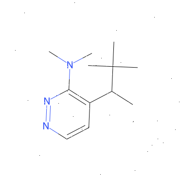 CC(c1ccnnc1N(C)C)C(C)(C)C